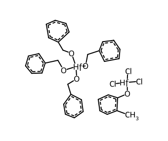 Cc1ccccc1[O][Hf]([Cl])([Cl])[Cl].c1ccc(C[O][Hf]([O]Cc2ccccc2)([O]Cc2ccccc2)[O]Cc2ccccc2)cc1